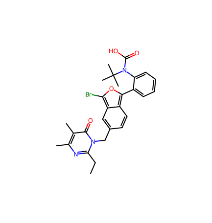 CCc1nc(C)c(C)c(=O)n1Cc1ccc2c(-c3ccccc3N(C(=O)O)C(C)(C)C)oc(Br)c2c1